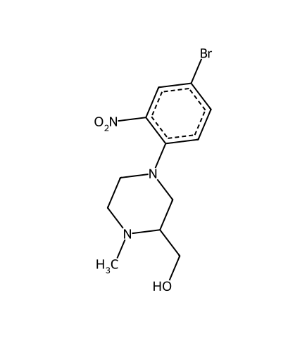 CN1CCN(c2ccc(Br)cc2[N+](=O)[O-])CC1CO